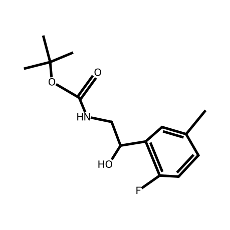 Cc1ccc(F)c(C(O)CNC(=O)OC(C)(C)C)c1